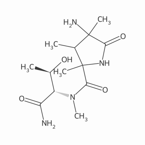 CC1C(C)(N)C(=O)NC1(C)C(=O)N(C)[C@H](C(N)=O)[C@@H](C)O